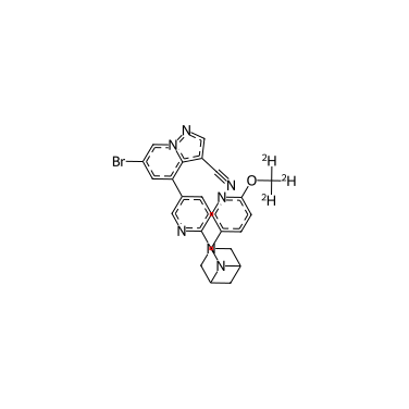 [2H]C([2H])([2H])Oc1ccc(CN2C3CC2CN(c2ccc(-c4cc(Br)cn5ncc(C#N)c45)cn2)C3)cn1